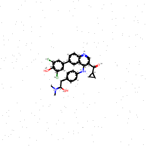 CN(C)C(O)Cc1ccc(Nc2c(C(=O)C3CC3)cnc3ccc(-c4cc(F)c(O)c(Cl)c4)cc23)cc1